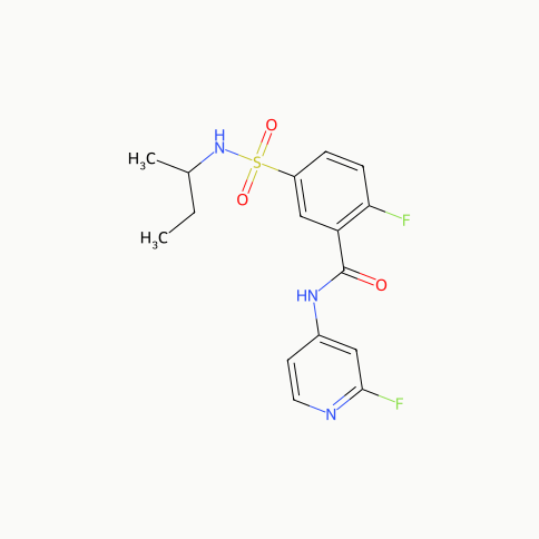 CCC(C)NS(=O)(=O)c1ccc(F)c(C(=O)Nc2ccnc(F)c2)c1